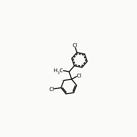 CC(c1cccc(Cl)c1)C1(Cl)[CH]C(Cl)=CC=C1